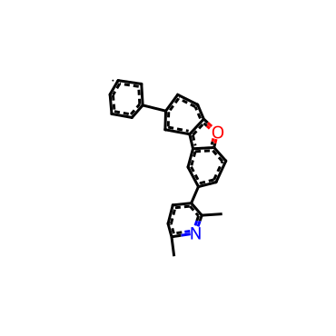 Cc1ccc(-c2ccc3oc4ccc(-c5c[c]ccc5)cc4c3c2)c(C)n1